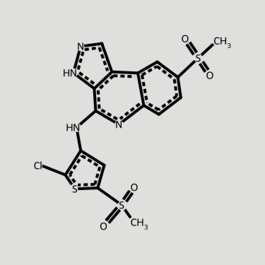 CS(=O)(=O)c1ccc2nc(Nc3cc(S(C)(=O)=O)sc3Cl)c3[nH]ncc3c2c1